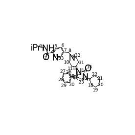 CC(C)NC(=O)c1ccc(CN2CCC(N3C(=O)N(C4CCCCC4)C[C@H]3c3ccccc3)CC2)cn1